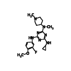 COc1ccc(Nc2nc(NC3CC3)nc(N(C)C3CCN(C)CC3)n2)cc1F